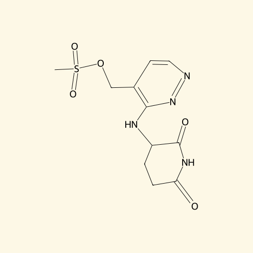 CS(=O)(=O)OCc1ccnnc1NC1CCC(=O)NC1=O